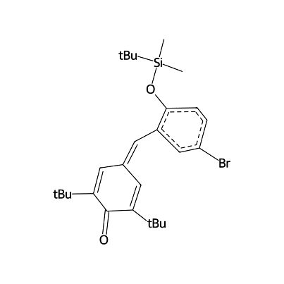 CC(C)(C)C1=CC(=Cc2cc(Br)ccc2O[Si](C)(C)C(C)(C)C)C=C(C(C)(C)C)C1=O